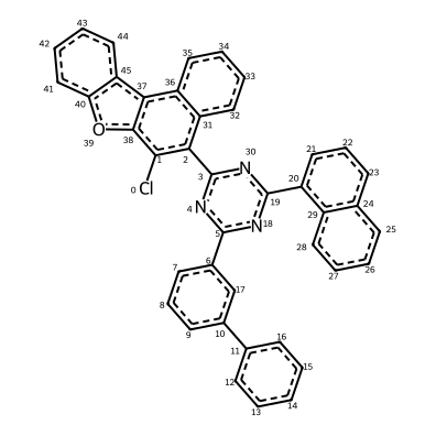 Clc1c(-c2nc(-c3cccc(-c4ccccc4)c3)nc(-c3cccc4ccccc34)n2)c2ccccc2c2c1oc1ccccc12